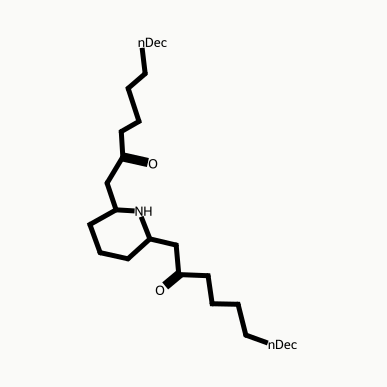 CCCCCCCCCCCCCCC(=O)CC1CCCC(CC(=O)CCCCCCCCCCCCCC)N1